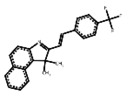 CC1(C)C(/C=C/c2ccc(C(F)(F)F)cc2)=Nc2ccc3ccccc3c21